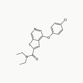 CCN(CC)C(=O)c1cc2c(Oc3ccc(Cl)cc3)cncc2s1